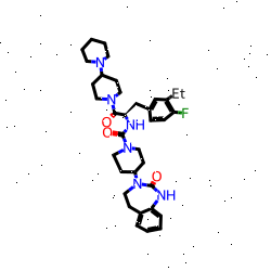 CCc1cc(C[C@@H](NC(=O)N2CCC(N3CCc4ccccc4NC3=O)CC2)C(=O)N2CCC(N3CCCCC3)CC2)ccc1F